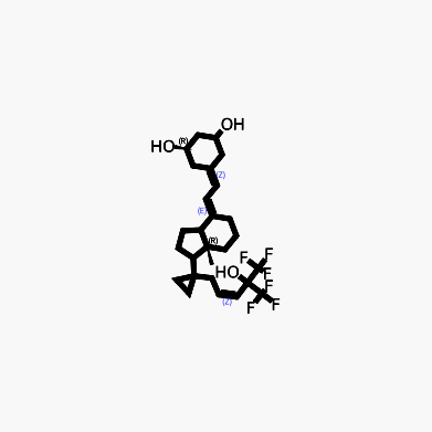 C[C@]12CCC/C(=C\C=C3\CC(O)C[C@H](O)C3)C1CCC2C1(C/C=C\C(O)(C(F)(F)F)C(F)(F)F)CC1